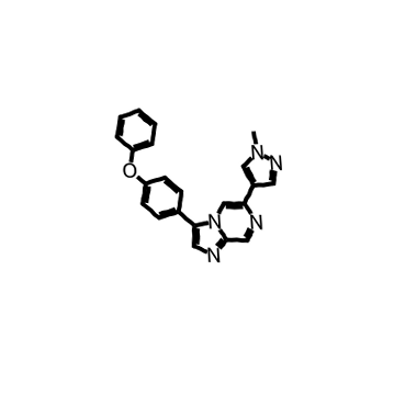 Cn1cc(-c2cn3c(-c4ccc(Oc5ccccc5)cc4)cnc3cn2)cn1